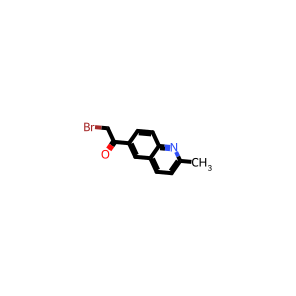 Cc1ccc2cc(C(=O)CBr)ccc2n1